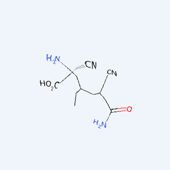 CC(C(C#N)C(N)=O)[C@@](N)(C#N)C(=O)O